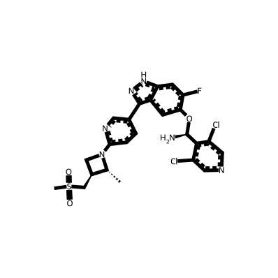 C[C@@H]1[C@@H](CS(C)(=O)=O)CN1c1ccc(-c2n[nH]c3cc(F)c(O[C@H](N)c4c(Cl)cncc4Cl)cc23)cn1